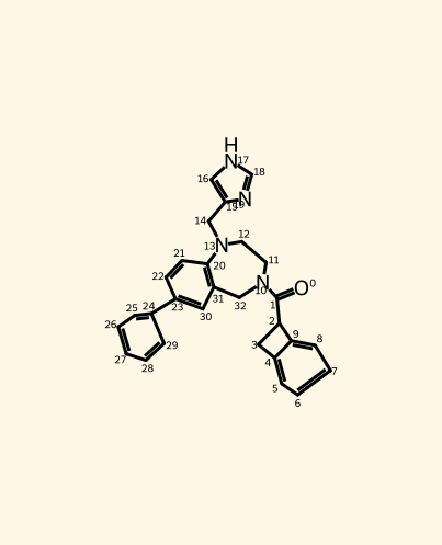 O=C(C1Cc2ccccc21)N1CCN(Cc2c[nH]cn2)c2ccc(-c3ccccc3)cc2C1